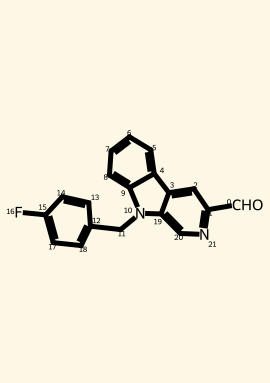 O=Cc1cc2c3ccccc3n(Cc3ccc(F)cc3)c2cn1